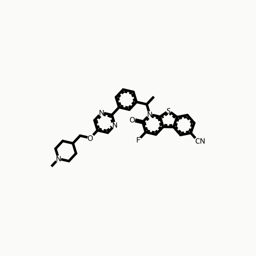 CC(c1cccc(-c2ncc(OCC3CCN(C)CC3)cn2)c1)n1c(=O)c(F)cc2c3cc(C#N)ccc3sc21